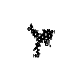 C=CC(=O)N1CC2(CCN(c3nc(N4CC(N(C)CCCO)C4)nc4c(OCC(F)(F)F)c(-c5c(C)ccc6[nH]ncc56)c(C5CC5)cc34)CC2)C1